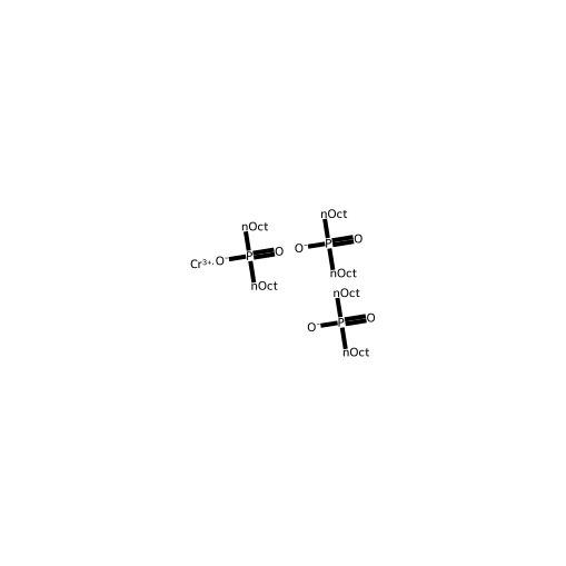 CCCCCCCCP(=O)([O-])CCCCCCCC.CCCCCCCCP(=O)([O-])CCCCCCCC.CCCCCCCCP(=O)([O-])CCCCCCCC.[Cr+3]